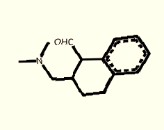 CN(C)CC1CCc2ccccc2C1C=O